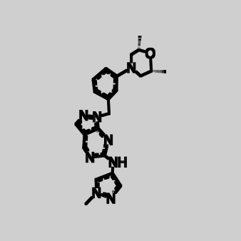 C[C@@H]1CN(c2cccc(Cn3ncc4cnc(Nc5cnn(C)c5)nc43)c2)C[C@H](C)O1